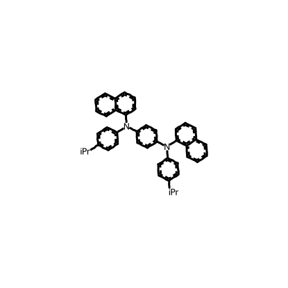 CC(C)c1ccc(N(c2ccc(N(c3ccc(C(C)C)cc3)c3cccc4ccccc34)cc2)c2cccc3ccccc23)cc1